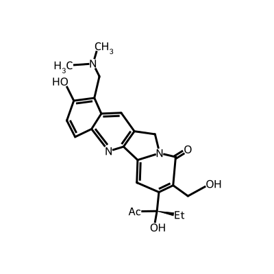 CC[C@@](O)(C(C)=O)c1cc2n(c(=O)c1CO)Cc1cc3c(CN(C)C)c(O)ccc3nc1-2